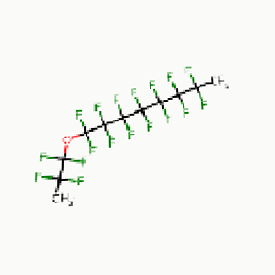 [CH2]C(F)(F)C(F)(F)OC(F)(F)C(F)(F)C(F)(F)C(F)(F)C(F)(F)C(F)(F)C(F)(F)C(F)(F)F